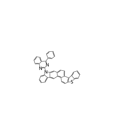 c1ccc(-c2nc(-n3c4ccccc4c4cc5c(ccc6c5ccc5sc7ccccc7c56)cc43)nc3ccccc23)cc1